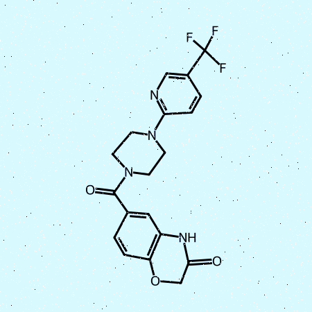 O=C1COc2ccc(C(=O)N3CCN(c4ccc(C(F)(F)F)cn4)CC3)cc2N1